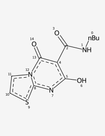 CCCCNC(=O)c1c(O)nc2sccn2c1=O